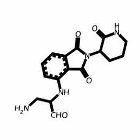 NCC(C=O)Nc1cccc2c1C(=O)N(C1CCCNC1=O)C2=O